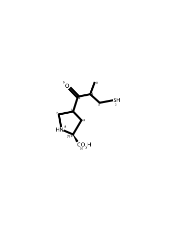 CC(CS)C(=O)C1CN[C@H](C(=O)O)C1